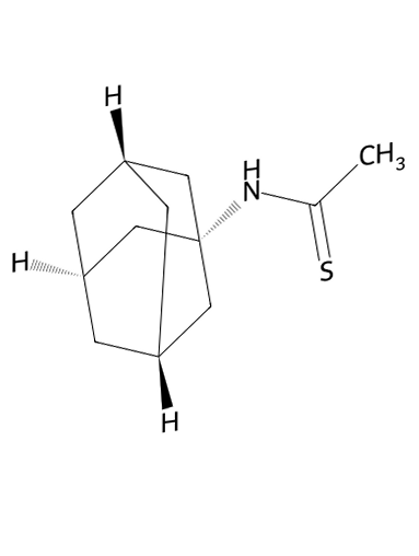 CC(=S)N[C@]12C[C@H]3C[C@H](C[C@H](C3)C1)C2